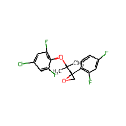 CC(C)(Oc1c(F)cc(Cl)cc1F)C1(c2ccc(F)cc2F)CO1